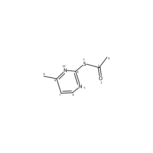 CC(=O)Sc1nccc(C)n1